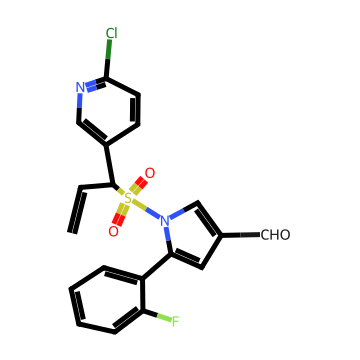 C=CC(c1ccc(Cl)nc1)S(=O)(=O)n1cc(C=O)cc1-c1ccccc1F